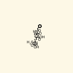 Cn1c(SCC2=C(C(=O)O)N3C(=O)C(NC(=O)Cc4ccccc4)[C@H]3SC2)nnc(O)c1=O